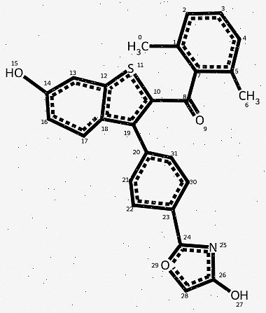 Cc1cccc(C)c1C(=O)c1sc2cc(O)ccc2c1-c1ccc(-c2nc(O)co2)cc1